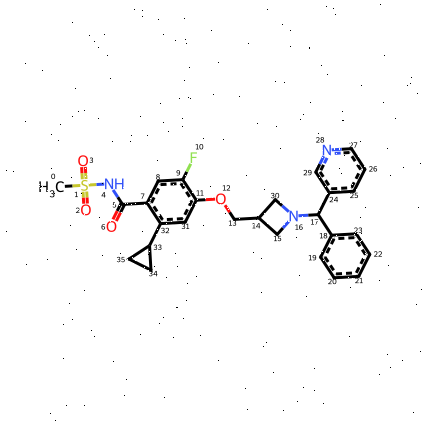 CS(=O)(=O)NC(=O)c1cc(F)c(OCC2CN(C(c3ccccc3)c3cccnc3)C2)cc1C1CC1